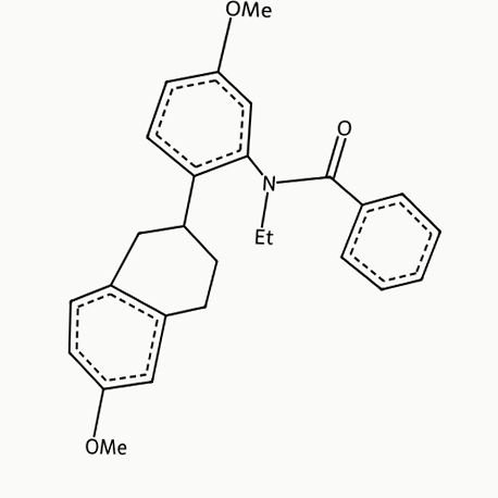 CCN(C(=O)c1ccccc1)c1cc(OC)ccc1C1CCc2cc(OC)ccc2C1